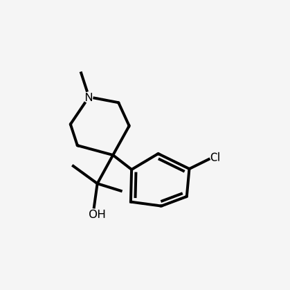 CN1CCC(c2cccc(Cl)c2)(C(C)(C)O)CC1